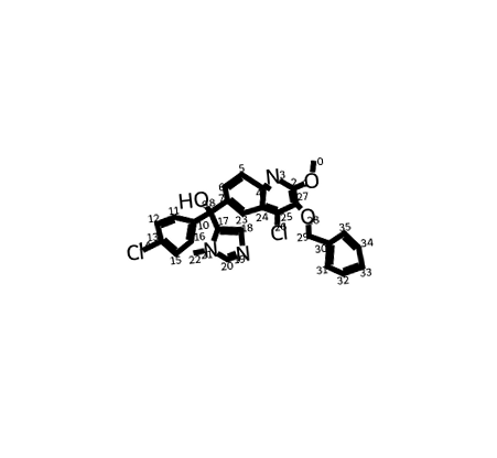 COc1nc2ccc(C(O)(c3ccc(Cl)cc3)c3cncn3C)cc2c(Cl)c1OCc1ccccc1